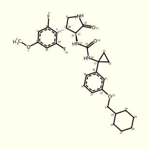 COc1cc(F)c([C@@H]2CNC(=O)[C@H]2NC(=O)NC2(c3cccc(OCC4CCCCC4)c3)CC2)c(F)c1